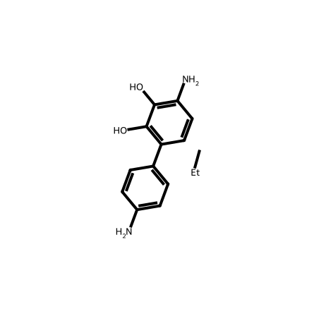 CCC.Nc1ccc(-c2ccc(N)c(O)c2O)cc1